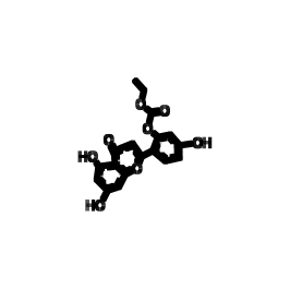 CCOC(=O)Oc1cc(O)ccc1-c1cc(=O)c2c(O)cc(O)cc2o1